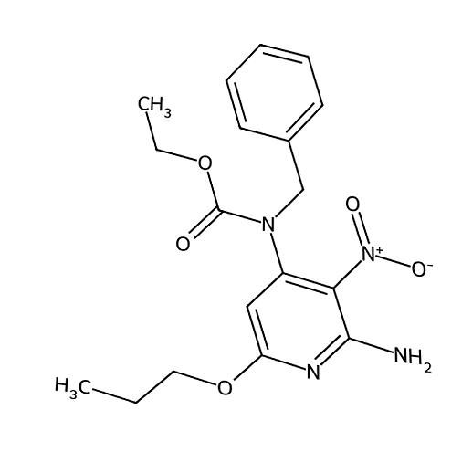 CCCOc1cc(N(Cc2ccccc2)C(=O)OCC)c([N+](=O)[O-])c(N)n1